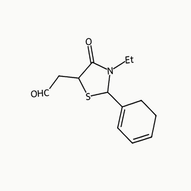 CCN1C(=O)C(CC=O)SC1C1=CC=CCC1